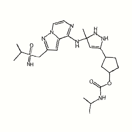 CC(C)NC(=O)OC1CCC(C2=CC(C)(Nc3nccn4nc(CS(=N)(=O)C(C)C)cc34)NN2)C1